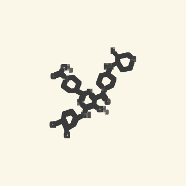 CC(=O)N1CCC(c2nc(Nc3ccc(Cl)c(Cl)c3)c(C)c(C(=O)N3CCC(N[C@@H]4CCOC[C@@H]4F)CC3)n2)CC1